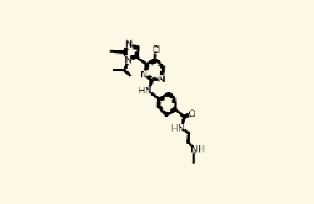 CNCCNC(=O)c1ccc(Nc2ncc(Cl)c(-c3cnc(C)n3C(C)C)n2)cc1